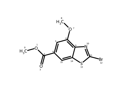 COC(=O)c1cc(OC)c2nc(Br)sc2c1